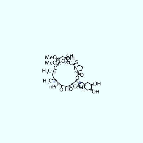 CCC[C@@H]1/C=C(\C)C[C@H](C)C[C@H](OC)[C@H]2O[C@@](O)(CC(=S)N3CCC[C@H]3C(=O)O[C@H](/C(C)=C/[C@@H]3CC[C@@H](O)[C@H](O)C3)[C@H](C)[C@@H](O)CC1=O)[C@H](C)C[C@@H]2OC